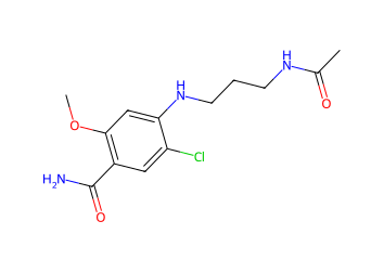 COc1cc(NCCCNC(C)=O)c(Cl)cc1C(N)=O